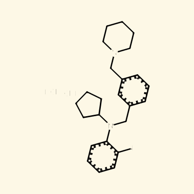 Cl.Cl.Fc1ccccc1N(Cc1cccc(CN2CCCCC2)c1)C1CCCC1